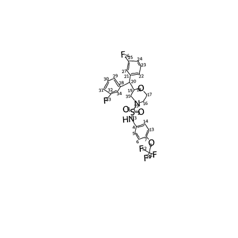 O=S(=O)(Nc1ccc(OC(F)(F)F)cc1)N1CCOC(C(c2cccc(F)c2)c2cccc(F)c2)C1